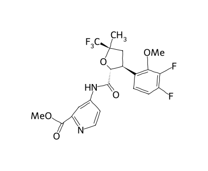 COC(=O)c1cc(NC(=O)[C@@H]2O[C@@](C)(C(F)(F)F)C[C@H]2c2ccc(F)c(F)c2OC)ccn1